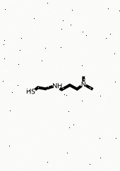 CN(C)CCCNCCS